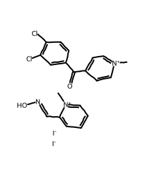 C[n+]1ccc(C(=O)c2ccc(Cl)c(Cl)c2)cc1.C[n+]1ccccc1C=NO.[I-].[I-]